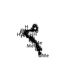 COc1ccc(C2=CN3C(=O)c4cc(OC)c(OCCCOc5cc6c(cc5OC)C(=O)N5C=C(c7ccc(NC(=O)[C@H](C)NC(=O)[C@@H](NC(=O)CCCNc8nc9cc(n8)SC8CCCCC(C8)SCCC(=O)N9)C(C)C)cc7)C[C@H]5C=N6)cc4N=C[C@@H]3C2)cc1